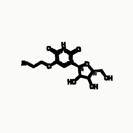 O=c1[nH]c(=O)n([C@H]2O[C@@H](CO)C(O)C2O)cc1OCCBr